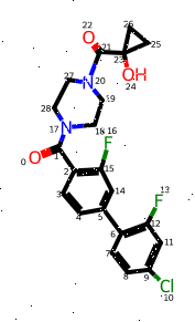 O=C(c1ccc(-c2ccc(Cl)cc2F)cc1F)N1CCN(C(=O)C2(O)CC2)CC1